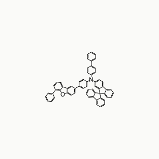 c1ccc(-c2ccc(N(c3ccc(-c4ccc5oc6c(-c7ccccc7)cccc6c5c4)cc3)c3ccc4c(c3)C3(c5ccccc5-c5ccccc53)c3ccccc3-4)cc2)cc1